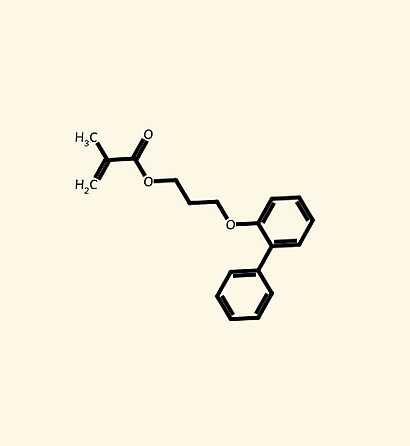 C=C(C)C(=O)OCCCOc1ccccc1-c1ccccc1